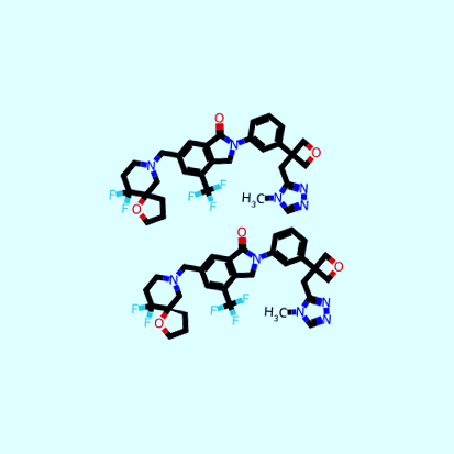 Cn1cnnc1CC1(c2cccc(N3Cc4c(cc(CN5CCC(F)(F)C6(CCCO6)C5)cc4C(F)(F)F)C3=O)c2)COC1.Cn1cnnc1CC1(c2cccc(N3Cc4c(cc(CN5CCC(F)(F)[C@]6(CCCO6)C5)cc4C(F)(F)F)C3=O)c2)COC1